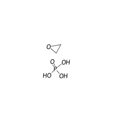 C1CO1.O=P(O)(O)O